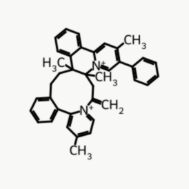 C=C1CC2(C)[n+]3cc(-c4ccccc4)c(C)cc3-c3ccccc3C2(C)CCc2ccccc2-c2cc(C)cc[n+]21